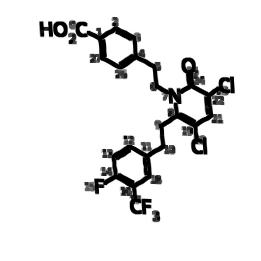 O=C(O)c1ccc(CCn2c(CCc3ccc(F)c(C(F)(F)F)c3)c(Cl)cc(Cl)c2=O)cc1